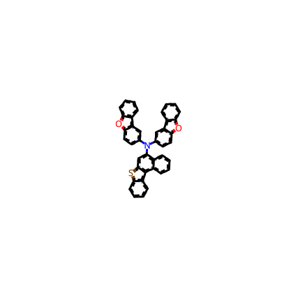 c1ccc2c(c1)oc1ccc(N(c3ccc4oc5ccccc5c4c3)c3cc4sc5ccccc5c4c4ccccc34)cc12